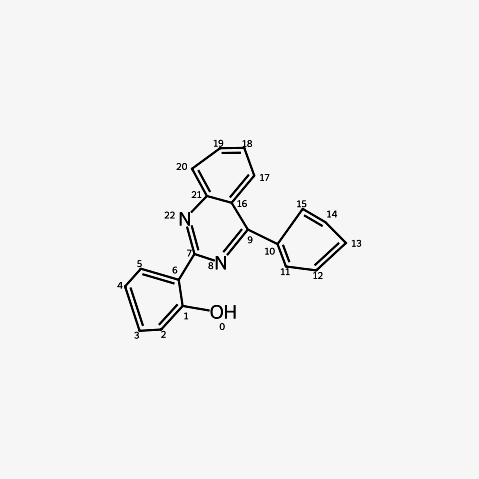 Oc1ccccc1-c1nc(-c2ccccc2)c2ccccc2n1